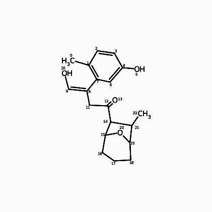 Cc1ccc(O)cc1/C(=C\O)CC(=O)C1C2CCCC(O2)C1C